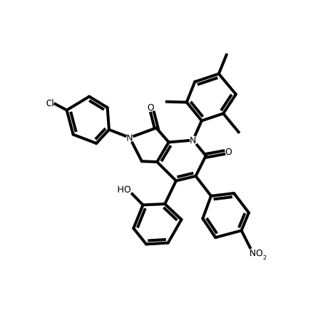 Cc1cc(C)c(-n2c3c(c(-c4ccccc4O)c(-c4ccc([N+](=O)[O-])cc4)c2=O)CN(c2ccc(Cl)cc2)C3=O)c(C)c1